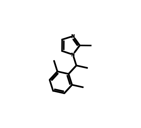 Cc1cccc(C)c1C(C)n1ccnc1C